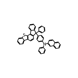 c1ccc(N(c2ccc(C3(c4ccccc4)c4ccccc4-c4c3ccc3c4sc4ccccc43)cc2)c2ccc3ccccc3c2)cc1